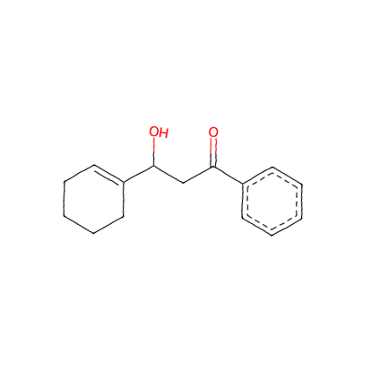 O=C(CC(O)C1=CCCCC1)c1ccccc1